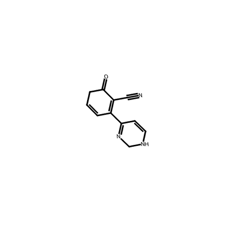 N#CC1=C(C2=NCNC=C2)C=CCC1=O